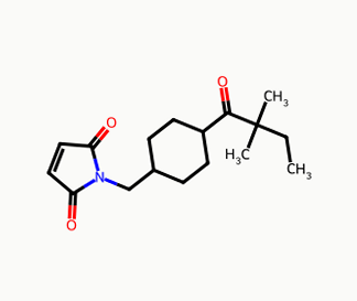 CCC(C)(C)C(=O)C1CCC(CN2C(=O)C=CC2=O)CC1